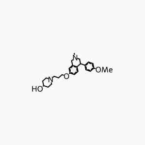 COc1ccc(C2CN(C)Cc3cc(OCCCN4CCC(O)CC4)ccc32)cc1